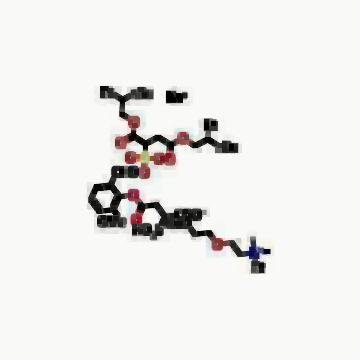 CCCCC(CC)COC(=O)CC(C(=O)OCC(CC)CCCC)S(=O)(=O)[O-].CC[N+](C)(C)CCOCCOC.COc1cccc(C=O)c1OC(=O)CC(C(=O)[O-])S(=O)(=O)O.[Na+]